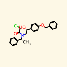 C[C@H](c1ccccc1)N(C[C@H](O)c1ccc(OCc2ccccc2)cc1)C(=O)CCl